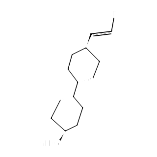 CCCCCC[C@H]1CC[C@H]([C@H]2CC[C@H](C=CF)CC2)CC1